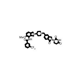 COc1ccc2cn(C3CCN(Cc4ccc5c(c4)CN(N4CCC(=O)NC4=O)C5=O)CC3)nc2c1NC(=O)c1cccc(C(F)(F)F)c1